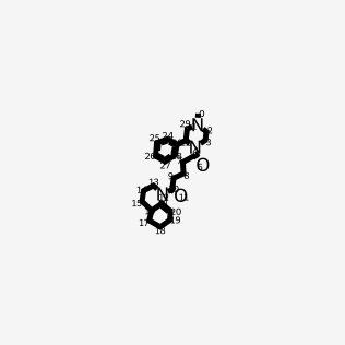 CN1CCN(C(=O)CCCC(=O)N2CCCC3CCCC=C32)C(c2ccccc2)C1